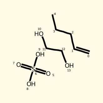 C=CCCC.O=S(=O)(O)O.OCCO